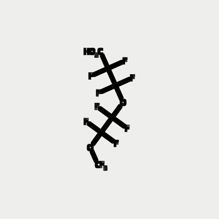 O=C(O)C(F)(F)C(F)(F)OC(F)(F)C(F)(F)OC(F)(F)F